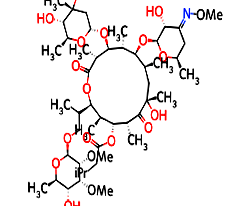 CON=C1C[C@@H](C)O[C@@H](O[C@@H]2[C@@H](C)[C@H](O[C@H]3C[C@@](C)(O)[C@@H](O)[C@H](C)O3)[C@@H](C)C(=O)O[C@H](C(C)CO[C@@H]3O[C@H](C)[C@@H](O)[C@@H](OC)[C@H]3OC)[C@H](C)[C@@H](OC(=O)CC(C)C)[C@@H](C)C(=O)[C@@](C)(O)C[C@@H]2C)[C@@H]1O